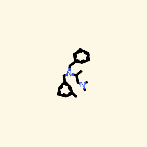 Cc1cccc(CN(Cc2ccccc2)C(C)CN(C)C)c1